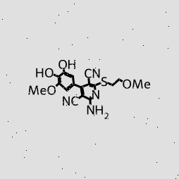 COCCSc1nc(N)c(C#N)c(-c2cc(O)c(O)c(OC)c2)c1C#N